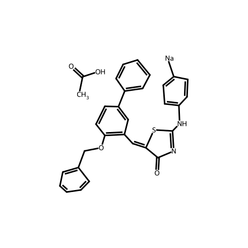 CC(=O)O.O=C1N=C(Nc2cc[c]([Na])cc2)S/C1=C\c1cc(-c2ccccc2)ccc1OCc1ccccc1